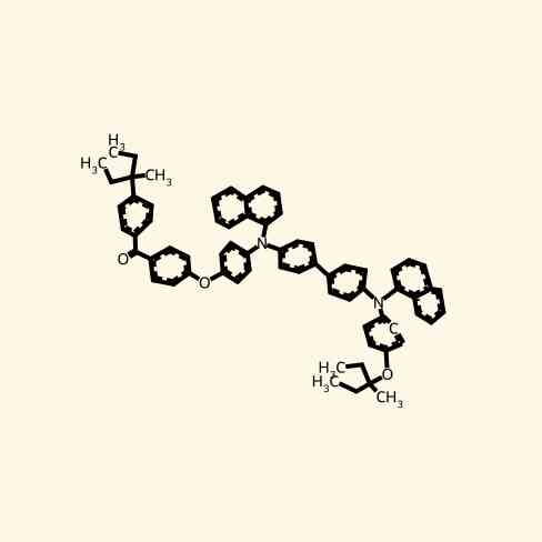 CCC(C)(CC)Oc1ccc(N(c2ccc(-c3ccc(N(c4ccc(Oc5ccc(C(=O)c6ccc(C(C)(CC)CC)cc6)cc5)cc4)c4cccc5ccccc45)cc3)cc2)c2cccc3ccccc23)cc1